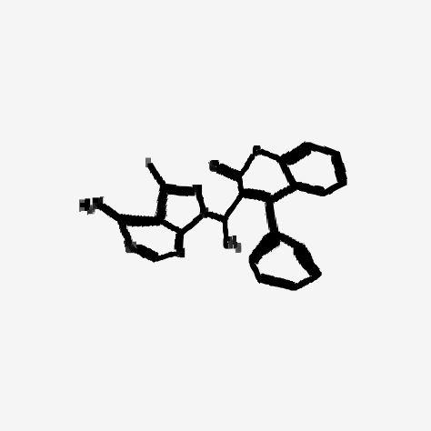 CC(c1c(-c2ccccc2)c2ccccc2oc1=O)n1nc(I)c2c(N)ncnc21